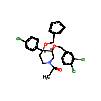 CC(=O)N1CC[C@@](OCc2ccccc2)(c2ccc(Cl)cc2)[C@@H](OCc2ccc(Cl)c(Cl)c2)C1